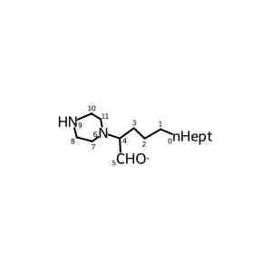 CCCCCCCCCCC([C]=O)N1CCNCC1